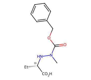 CC[C@H](NN(C)C(=O)OCc1ccccc1)C(=O)O